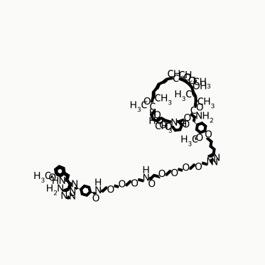 COc1cccc2cc(-c3nc([C@H]4CC[C@H](C(=O)NCCOCCOCCOCCNC(=O)CCOCCOCCOCCOCCn5cc(CCCCO[C@@H]6CC[C@@H](C[C@@H](N)[C@@H]7CC(=O)[C@H](C)/C=C(\C)[C@@H](O)[C@@H](OC)C(=O)[C@H](C)C[C@H](C)/C=C/C=C/C=C(\C)[C@@H](OC)C[C@@H]8CC[C@@H](C)[C@@](O)(O8)C(=O)C(=O)N8CCCC[C@H]8C(=O)O7)C[C@H]6OC)nn5)CC4)n4ncnc(N)c34)[nH]c12